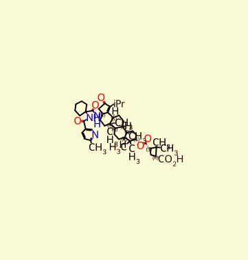 Cc1ccc(C(=O)NC2(C(=O)N[C@@]34CC[C@]5(C)[C@H](CC[C@@H]6[C@@]7(C)CC[C@H](OC(=O)[C@H]8C[C@@H](C(=O)O)C8(C)C)C(C)(C)[C@@H]7CC[C@]65C)C3=C(C(C)C)C(=O)C4)CCCCC2)cn1